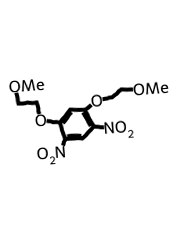 COCCOc1cc(OCCOC)c([N+](=O)[O-])cc1[N+](=O)[O-]